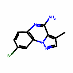 Cc1cnn2c1c(N)nc1ccc(Br)cc12